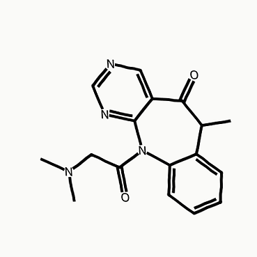 CC1C(=O)c2cncnc2N(C(=O)CN(C)C)c2ccccc21